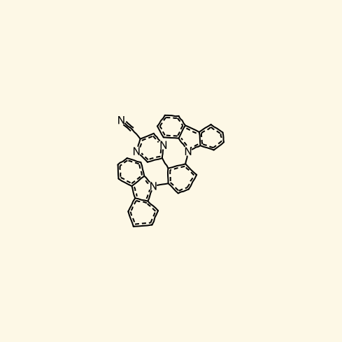 N#Cc1cnc(-c2c(-n3c4ccccc4c4ccccc43)cccc2-n2c3ccccc3c3ccccc32)cn1